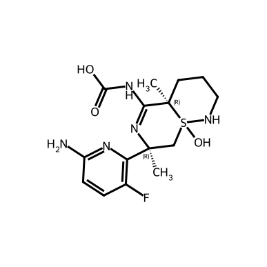 C[C@@]1(c2nc(N)ccc2F)CS2(O)NCCC[C@]2(C)C(NC(=O)O)=N1